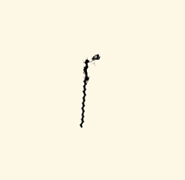 CCCCCCCCCCCCCCCCCCC(=O)OCC(O)COP(=O)(O)OCC[N+](C)(C)C